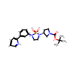 CC(C)(C)OC(=O)N1CC[C@H](N2CCN(c3cccc(-c4ccccn4)c3)S2(=O)=O)C1